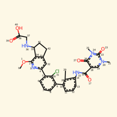 COc1nc(-c2cccc(-c3cccc(NC(=O)c4cn(C)c(=O)n(C)c4=O)c3C)c2Cl)cc2c1C(NCC(=O)O)CC2